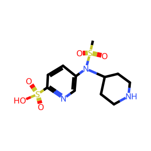 CS(=O)(=O)N(c1ccc(S(=O)(=O)O)nc1)C1CCNCC1